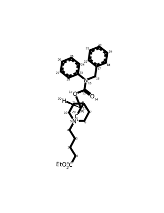 CCOC(=O)CCCC[N+]12CCC(CC1)[C@@H](OC(=O)N(Cc1ccccc1)c1ccccc1)C2